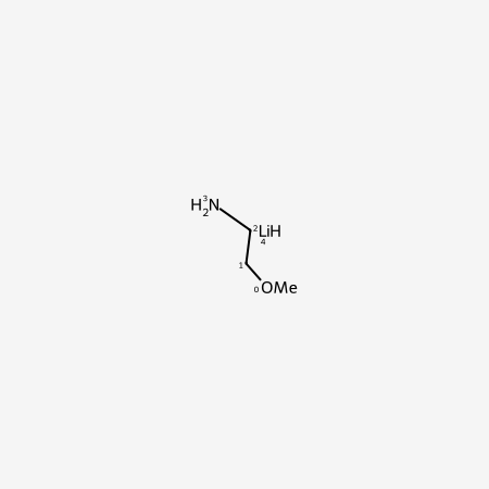 COCCN.[LiH]